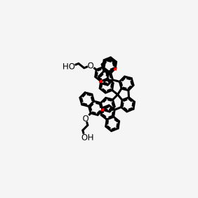 OCCOc1cc2ccc(C3(c4ccc5cc(OCCO)c6ccccc6c5c4)c4c(cccc4-c4cccc5ccccc45)-c4cccc(-c5cccc6ccccc56)c43)cc2c2ccccc12